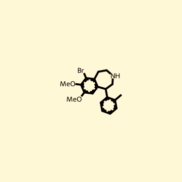 COc1cc2c(c(Br)c1OC)CCNCC2c1ccccc1C